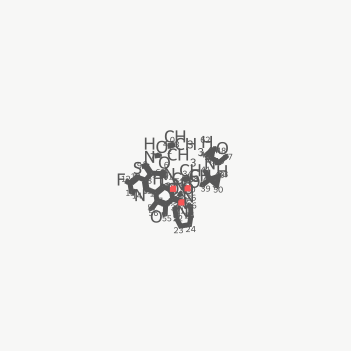 CC(C)(C)OC(=O)Nc1sc2c(F)cnc(-c3c4c(c5c(N6C7CCC6CN(C(=O)OC(C)(C)C)C7)nc(OCC6(CN7C[C@H]8C[C@@H]7CO8)CC6)nc5c3F)COC4)c2c1C#N